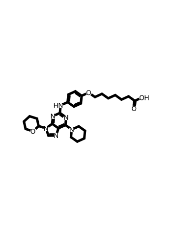 O=C(O)CCCCCCOc1ccc(Nc2nc(N3CCCCC3)c3ncn(C4CCCCO4)c3n2)cc1